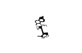 Cc1nocc1C(=O)NC1c2ccccc2CCC1C